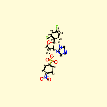 O=[N+]([O-])c1ccc(S(=O)(=O)OC[C@@H]2CO[C@@](Cn3cncn3)(c3ccc(F)cc3F)C2)cc1